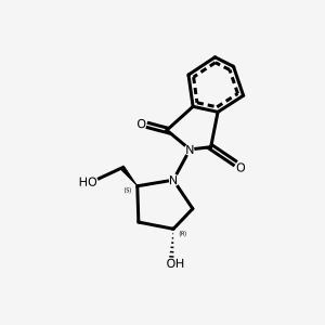 O=C1c2ccccc2C(=O)N1N1C[C@H](O)C[C@H]1CO